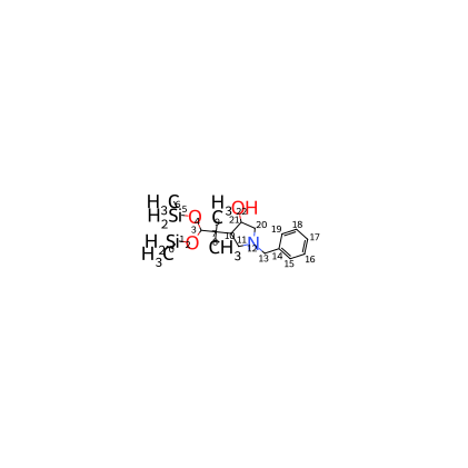 C[SiH2]OC(O[SiH2]C)C(C)(C)C1CN(Cc2ccccc2)CC1O